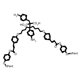 CCCCCOc1ccc(OC(=O)C=Cc2ccc(OCCCCC(CCCCOc3ccc(C=CC(=O)Oc4ccc(OCCCCC)cc4)cc3)(c3ccc(N)cc3)C(Cc3ccc(N)cc3)(C(=O)O)C(=O)O)cc2)cc1